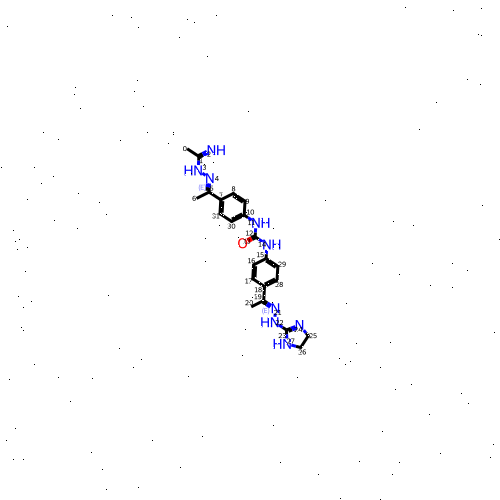 CC(=N)N/N=C(\C)c1ccc(NC(=O)Nc2ccc(/C(C)=N/NC3=NCCN3)cc2)cc1